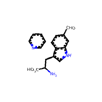 NC(Cc1c[nH]c2cc(C=O)ccc12)C(=O)O.c1ccncc1